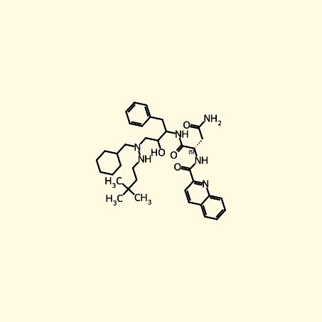 CC(C)(C)CCNN(CC1CCCCC1)CC(O)C(Cc1ccccc1)NC(=O)[C@H](CC(N)=O)NC(=O)c1ccc2ccccc2n1